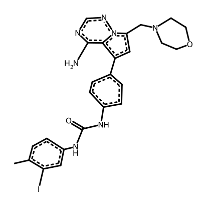 Cc1ccc(NC(=O)Nc2ccc(-c3cc(CN4CCOCC4)n4ncnc(N)c34)cc2)cc1I